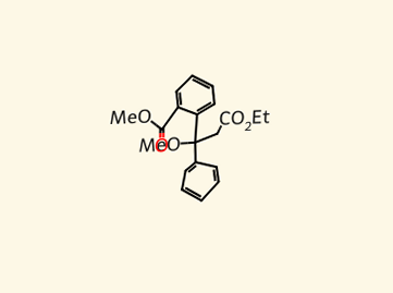 CCOC(=O)CC(OC)(c1ccccc1)c1ccccc1C(=O)OC